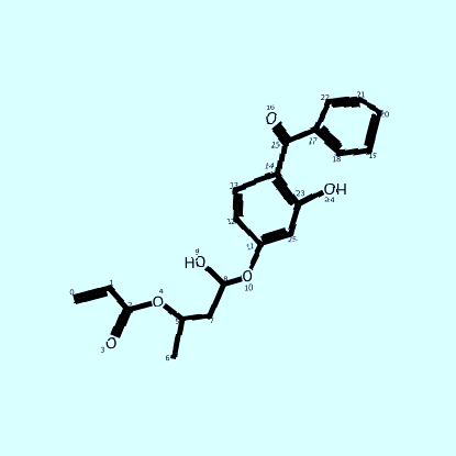 C=CC(=O)OC(C)CC(O)Oc1ccc(C(=O)c2ccccc2)c(O)c1